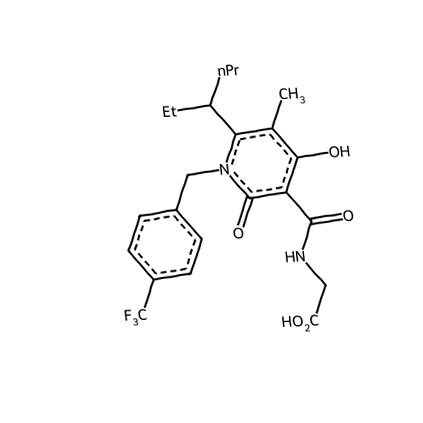 CCCC(CC)c1c(C)c(O)c(C(=O)NCC(=O)O)c(=O)n1Cc1ccc(C(F)(F)F)cc1